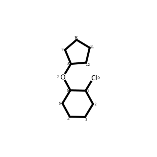 ClC1CCCCC1OC1CCCC1